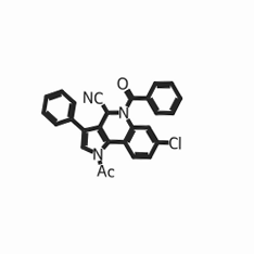 CC(=O)n1cc(-c2ccccc2)c2c1-c1ccc(Cl)cc1N(C(=O)c1ccccc1)C2C#N